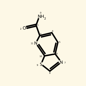 NC(=O)c1ccc2ncsc2n1